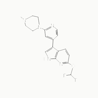 CN1CCN(c2cc(-c3c[nH]c4nc(OC(F)F)ccc34)ccn2)CC1